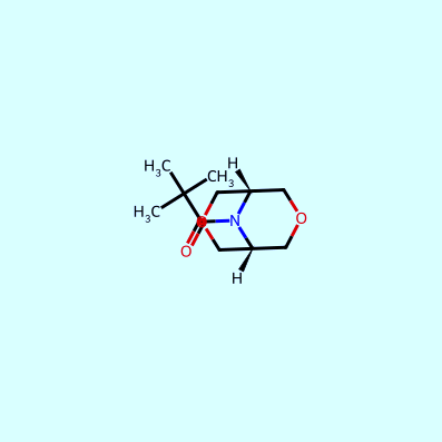 CC(C)(C)C(=O)N1[C@H]2COC[C@@H]1COC2